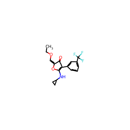 CCOC=C1OC(NC2CC2)=C(c2cccc(C(F)(F)F)c2)C1=O